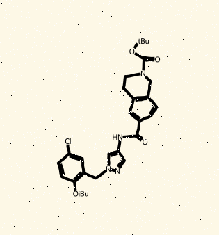 CC(C)COc1ccc(Cl)cc1Cn1cc(NC(=O)c2ccc3c(c2)CCN(C(=O)OC(C)(C)C)C3)cn1